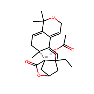 C/C=C1/C2=CCOC(C)(C)C2=CCC1(C)[C@@]12CC(CC1(CC)OC(C)=O)OC2=O